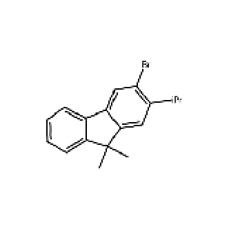 CC(C)c1cc2c(cc1Br)-c1ccccc1C2(C)C